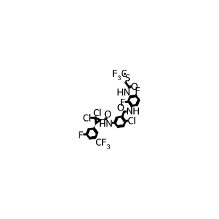 O=C(CSC(F)(F)F)Nc1c(F)ccc(NC(=O)c2cc(NC(=O)[C@H]3[C@H](c4cc(F)cc(C(F)(F)F)c4)C3(Cl)Cl)ccc2Cl)c1F